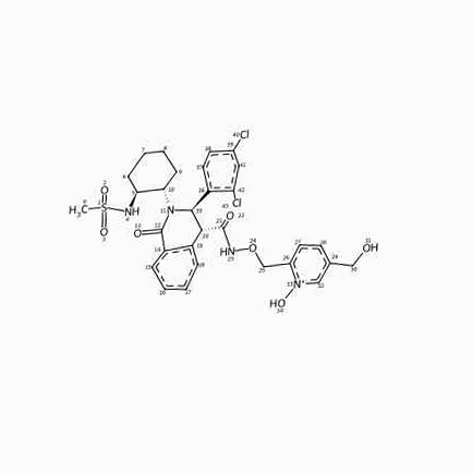 CS(=O)(=O)N[C@H]1CCCC[C@@H]1N1C(=O)c2ccccc2[C@@H](C(=O)NOCc2ccc(CO)c[n+]2O)[C@@H]1c1ccc(Cl)cc1Cl